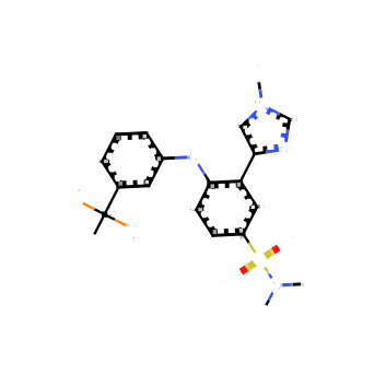 CN(C)S(=O)(=O)c1ccc(Nc2cccc(C(C)(P)P)c2)c(-c2cn(C)cn2)c1